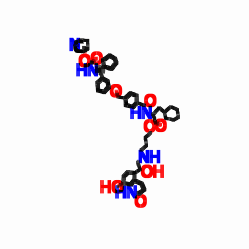 O=C(N[C@@H](c1ccccc1)c1cccc(OCc2ccc(C(=O)NC(CC3CCCCC3)C(=O)OCCCCNCC(O)c3ccc(O)c4[nH]c(=O)ccc34)cc2)c1)OC1CN2CCC1CC2